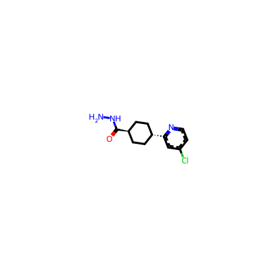 NNC(=O)[C@H]1CC[C@H](c2cc(Cl)ccn2)CC1